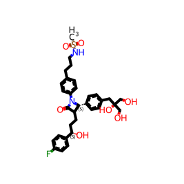 CS(=O)(=O)NCCCc1ccc(N2C(=O)C(CC[C@H](O)c3ccc(F)cc3)[C@H]2c2ccc(CC(O)(CO)CO)cc2)cc1